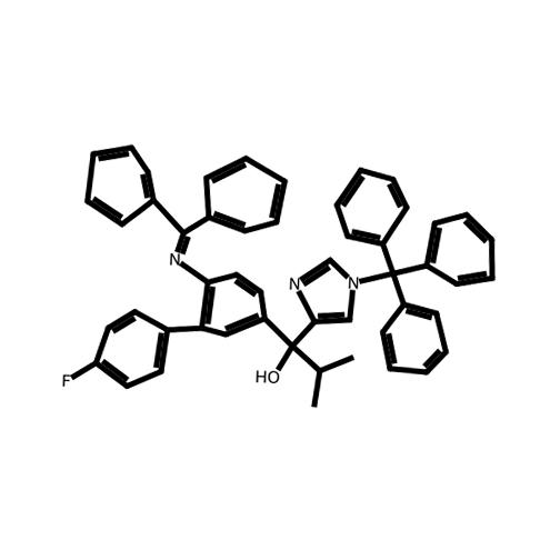 CC(C)C(O)(c1ccc(N=C(c2ccccc2)c2ccccc2)c(-c2ccc(F)cc2)c1)c1cn(C(c2ccccc2)(c2ccccc2)c2ccccc2)cn1